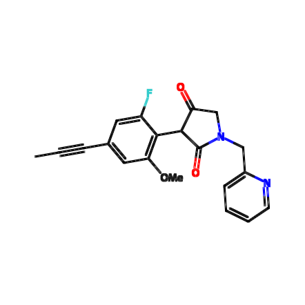 CC#Cc1cc(F)c(C2C(=O)CN(Cc3ccccn3)C2=O)c(OC)c1